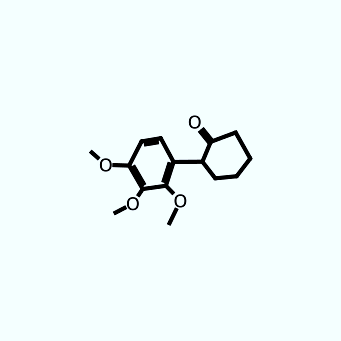 COc1ccc(C2CCCCC2=O)c(OC)c1OC